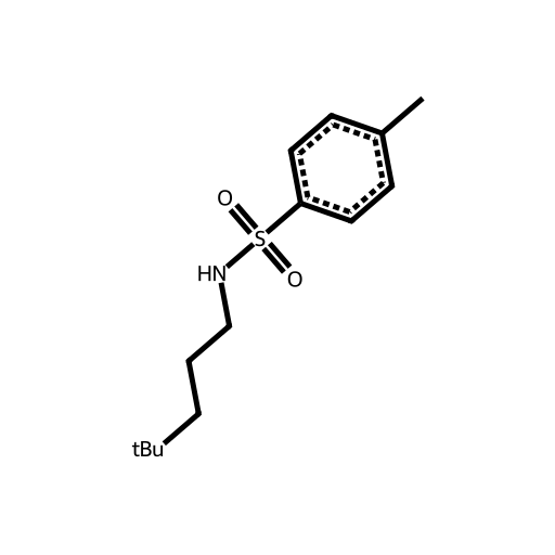 Cc1ccc(S(=O)(=O)NCCCC(C)(C)C)cc1